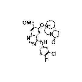 COc1cc2ncnc(Nc3ccc(F)c(Cl)c3)c2cc1O[N+]1(CCN2CCCC2=O)CCCCC1